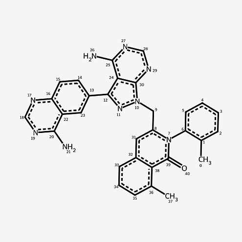 Cc1ccccc1-n1c(Cn2nc(-c3ccc4ncnc(N)c4c3)c3c(N)ncnc32)cc2cccc(C)c2c1=O